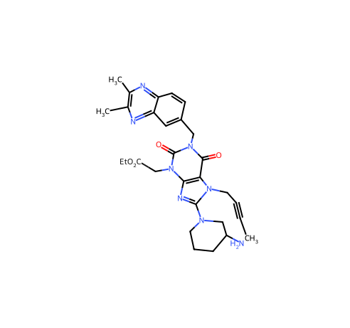 CC#CCn1c(N2CCCC(N)C2)nc2c1c(=O)n(Cc1ccc3nc(C)c(C)nc3c1)c(=O)n2CC(=O)OCC